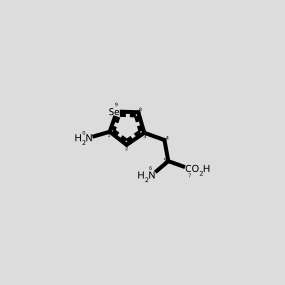 Nc1cc(CC(N)C(=O)O)c[se]1